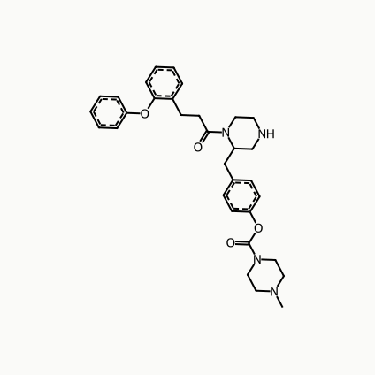 CN1CCN(C(=O)Oc2ccc(CC3CNCCN3C(=O)CCc3ccccc3Oc3ccccc3)cc2)CC1